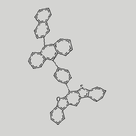 c1ccc2cc(-c3c4ccccc4c(-c4ccc(-c5c6oc7ccccc7c6cc6c5sc5ccccc56)cc4)c4ccccc34)ccc2c1